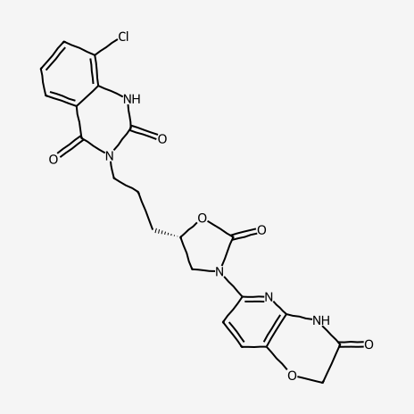 O=C1COc2ccc(N3C[C@H](CCCn4c(=O)[nH]c5c(Cl)cccc5c4=O)OC3=O)nc2N1